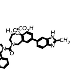 CC(=O)O.Cc1nc2ccc(-c3ccc4c(c3)CN(C(=O)N3CCCC3c3ccccc3)CCO4)cc2[nH]1